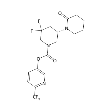 O=C(Oc1ccc(C(F)(F)F)nc1)N1C[C@@H](N2CCCCC2=O)CC(F)(F)C1